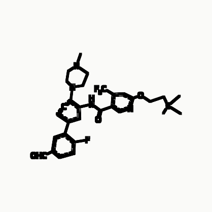 CN1CCN(c2ccc(-c3cc(C=O)ccc3F)cc2NC(=O)c2cnc(OCCS(C)(C)C)cc2C(F)(F)F)CC1